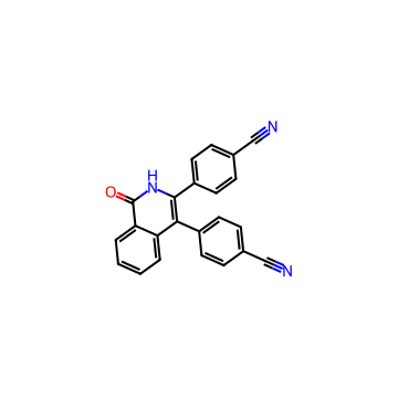 N#Cc1ccc(-c2[nH]c(=O)c3ccccc3c2-c2ccc(C#N)cc2)cc1